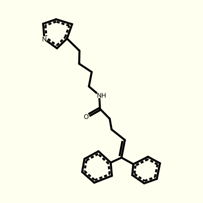 O=C(CCC=C(c1ccccc1)c1ccccc1)NCCCCc1cccnc1